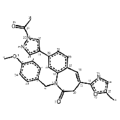 COc1ccc(CN2C(=O)CC(c3ncc(C)o3)=Cc3ccc(-c4cnn(C(C)=O)c4)cc32)cc1